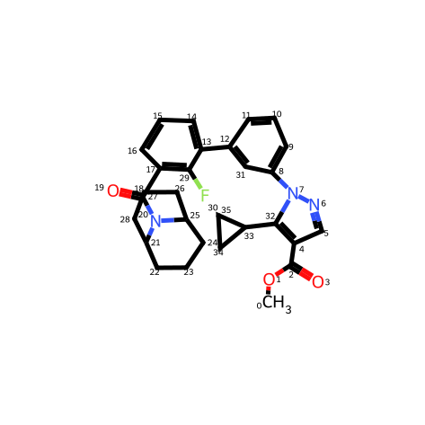 COC(=O)c1cnn(-c2cccc(-c3cccc(C(=O)N4C5CCCC4CCC5)c3F)c2)c1C1CC1